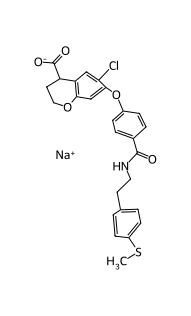 CSc1ccc(CCNC(=O)c2ccc(Oc3cc4c(cc3Cl)C(C(=O)[O-])CCO4)cc2)cc1.[Na+]